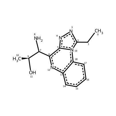 CCc1nnc2c(C(N)[C@H](C)O)nc3ccccc3n12